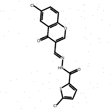 O=C(N/N=C/c1coc2ccc(Cl)cc2c1=O)c1ccc(Cl)s1